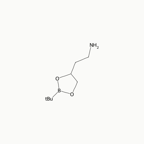 CC(C)(C)B1OCC(CCN)O1